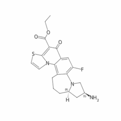 CCOC(=O)c1c(=O)c2cc(F)c3c(c2n2ccsc12)CCC[C@@H]1C[C@H](N)CN31